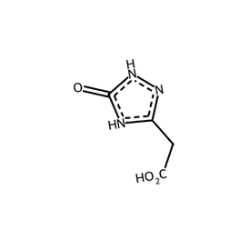 O=C(O)Cc1n[nH]c(=O)[nH]1